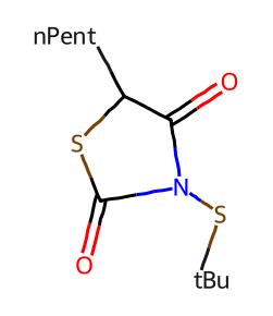 CCCCCC1SC(=O)N(SC(C)(C)C)C1=O